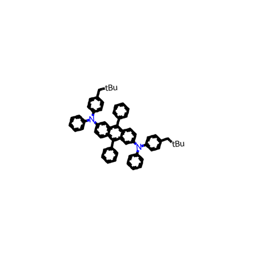 CC(C)(C)Cc1ccc(N(c2ccccc2)c2ccc3c(-c4ccccc4)c4cc(N(c5ccccc5)c5ccc(CC(C)(C)C)cc5)ccc4c(-c4ccccc4)c3c2)cc1